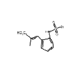 CCS(=O)(=O)Nc1ccccc1C=C(C)C(=O)O